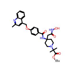 Cc1cc(COc2ccc(C(=O)NC3(CC(=O)NO)CCN(C(C)(C)C(=O)OC(C)(C)C)CC3)cc2)c2ccccc2n1